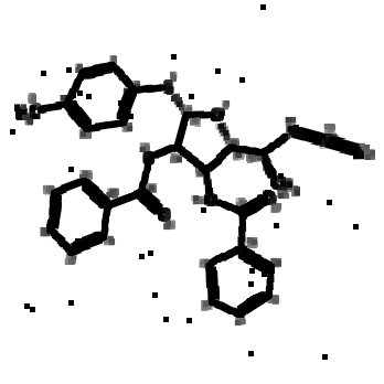 Cc1ccc(S[C@@H]2O[C@H]([C@H](C)N=[N+]=[N-])C(OC(=O)c3ccccc3)C2OC(=O)c2ccccc2)cc1